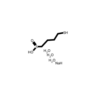 O.O.O.O=S(O)CCCCS.[NaH]